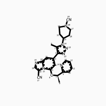 Cc1c(-c2cc(O[C@H](C)c3ccccn3)n3c(C#N)cnc3c2)nnn1C1CCN(C#N)CC1